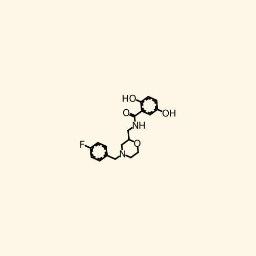 O=C(NCC1CN(Cc2ccc(F)cc2)CCO1)c1cc(O)ccc1O